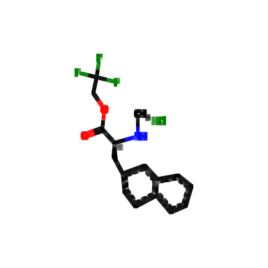 CN[C@@H](Cc1ccc2ccccc2c1)C(=O)OCC(F)(F)F.Cl